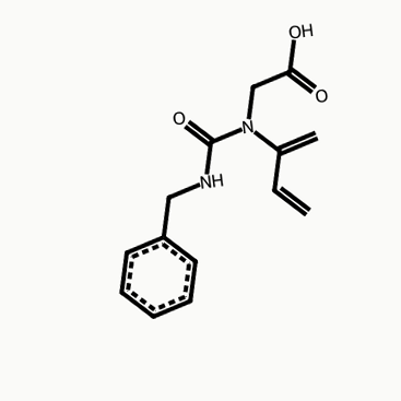 C=CC(=C)N(CC(=O)O)C(=O)NCc1ccccc1